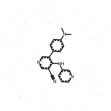 CN(C)c1ccc(-c2cncc(C#N)c2Nc2cccnc2)cc1